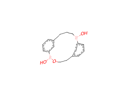 OB1CCCc2cccc(c2)B(O)OCCc2cccc1c2